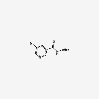 CCCCCCNC(=O)c1cncc(Br)c1